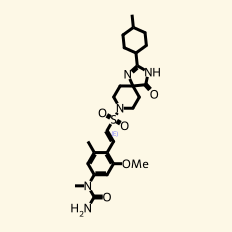 COc1cc(N(C)C(N)=O)cc(C)c1/C=C/S(=O)(=O)N1CCC2(CC1)N=C(C1CCC(C)CC1)NC2=O